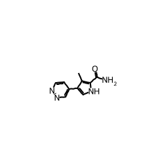 Cc1c(-c2ccnnc2)c[nH]c1C(N)=O